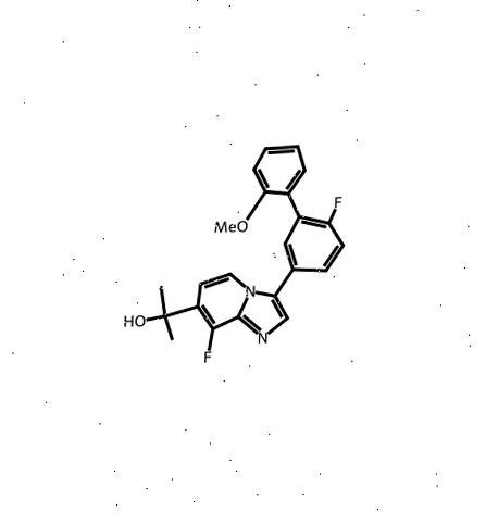 COc1ccccc1-c1cc(-c2cnc3c(F)c(C(C)(C)O)ccn23)ccc1F